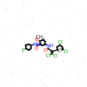 COc1ccc(NC(=O)C2C(c3cc(Cl)cc(Cl)c3)C2(Cl)Cl)cc1C(=O)Nc1ccc(F)cc1